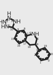 c1ccc(C2CNc3cc(C4NNNN4)ccc3C2)cc1